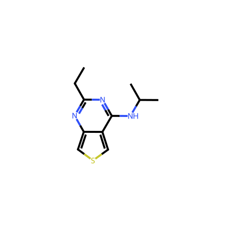 CCc1nc(NC(C)C)c2cscc2n1